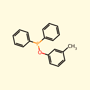 Cc1cccc(OP(c2ccccc2)c2ccccc2)c1